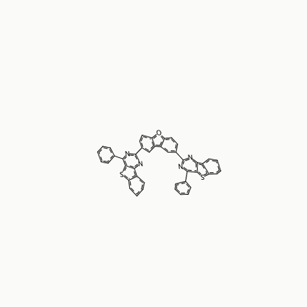 c1ccc(-c2nc(-c3ccc4oc5ccc(-c6nc(-c7ccccc7)c7sc8ccccc8c7n6)cc5c4c3)nc3c2sc2ccccc23)cc1